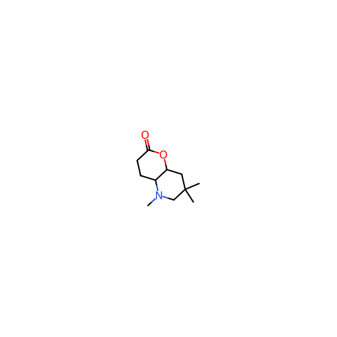 CN1CC(C)(C)CC2OC(=O)CCC21